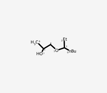 CCCCC(CC)OCC(C)O